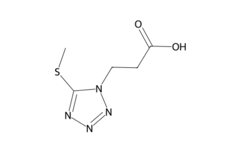 CSc1nnnn1CCC(=O)O